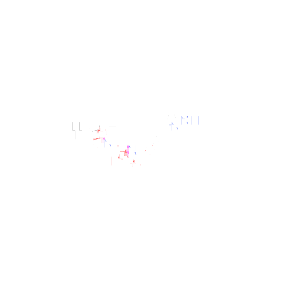 CC(C)(C)OC(=O)N1CC[C@H](OC(=O)NC(CCO[C@H]2C[C@H](CCc3ccc4c(n3)NCCC4)C2)C(=O)O)C1